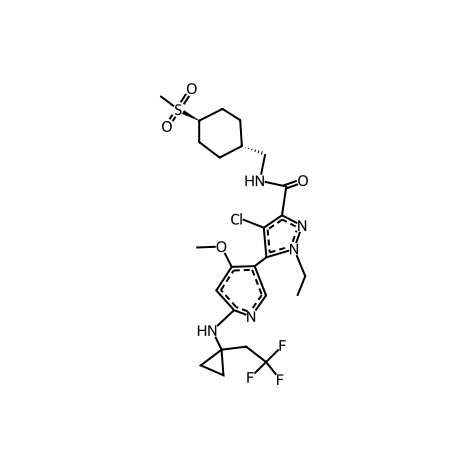 CCn1nc(C(=O)NC[C@H]2CC[C@H](S(C)(=O)=O)CC2)c(Cl)c1-c1cnc(NC2(CC(F)(F)F)CC2)cc1OC